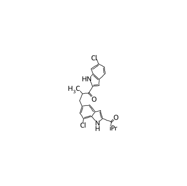 CC(C)C(=O)c1cc2cc(CC(C)C(=O)c3cc4ccc(Cl)cc4[nH]3)cc(Cl)c2[nH]1